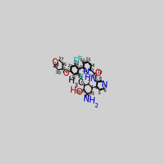 C[C@H]1C[C@@H](c2ccncc2NC(=O)c2ccc(F)c(-c3c(F)cc(OC4CCOCC4)cc3F)n2)C[C@@H](N)[C@H]1O